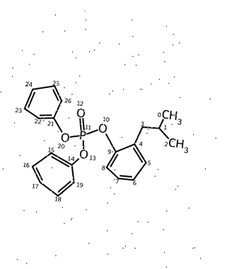 CC(C)Cc1ccccc1OP(=O)(Oc1ccccc1)Oc1ccccc1